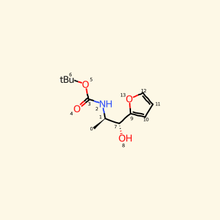 C[C@@H](NC(=O)OC(C)(C)C)[C@@H](O)c1ccco1